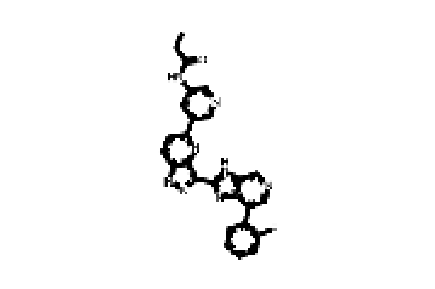 CCC(=O)Nc1cncc(-c2ccc3[nH]nc(-c4nc5c(-c6ccccc6F)cncc5[nH]4)c3n2)c1